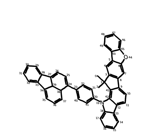 CC1(C)c2cc3c(cc2-c2ccc4c5ccccc5n(-c5ccc(C6=CC=C7c8ccccc8C8=CC=CC6C87)cc5)c4c21)oc1ccccc13